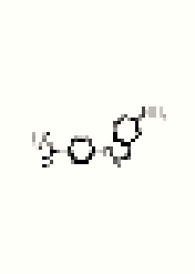 CC(=O)c1ccc(-n2ncc3cc(N)ccc32)cc1